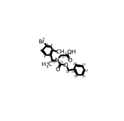 Cc1cc(Br)ccc1[C@@H](C)N(CC(=O)O)C(=O)OCc1ccccc1